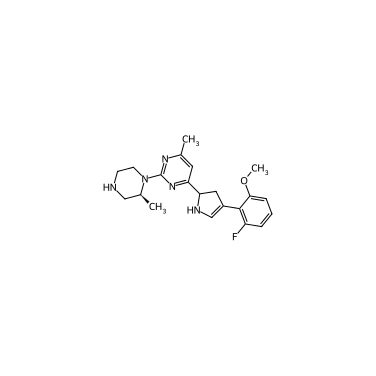 COc1cccc(F)c1C1=CNC(c2cc(C)nc(N3CCNC[C@@H]3C)n2)C1